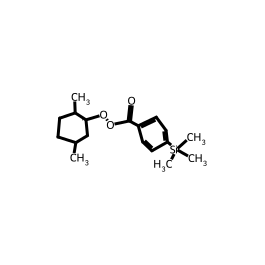 CC1CCC(C)[C](OOC(=O)c2ccc([Si](C)(C)C)cc2)C1